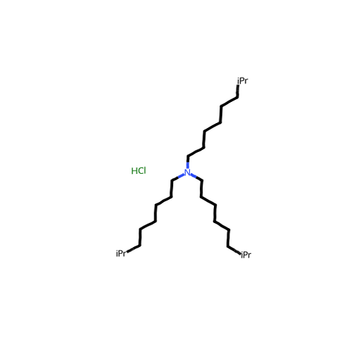 CC(C)CCCCCCN(CCCCCCC(C)C)CCCCCCC(C)C.Cl